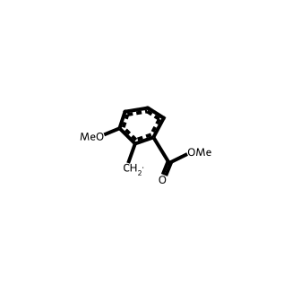 [CH2]c1c(OC)cccc1C(=O)OC